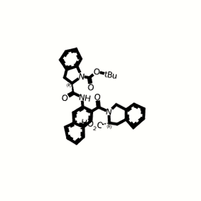 CC(C)(C)OC(=O)N1c2ccccc2C[C@@H]1C(=O)Nc1cc2ccccc2cc1C(=O)N1Cc2ccccc2C[C@@H]1C(=O)O